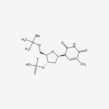 Cc1cn([C@H]2C[C@H](OP(O)(F)=S)[C@@H](CO[Si](C)(C)C(C)(C)C)O2)c(=O)[nH]c1=O